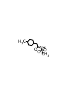 CC1CCC(CC(=O)NS(C)(=O)=O)CC1